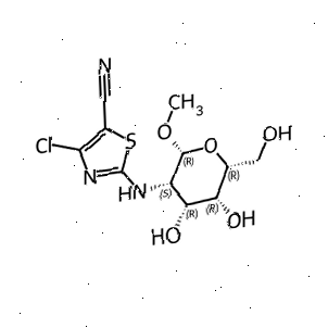 CO[C@@H]1O[C@H](CO)[C@H](O)[C@H](O)[C@@H]1Nc1nc(Cl)c(C#N)s1